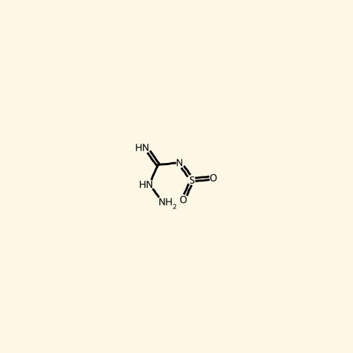 N=C(N=S(=O)=O)NN